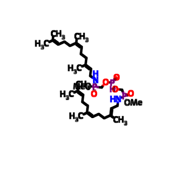 COP(=O)(CO[PH](=O)OCP(=O)(NCC=C(C)CCC=C(C)CCC=C(C)C)OC)NCC=C(C)CCC=C(C)CCC=C(C)C